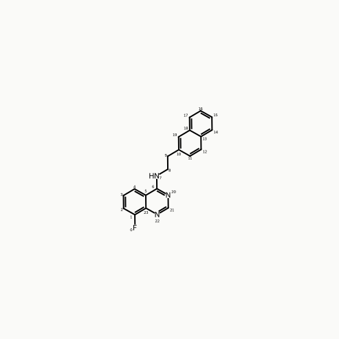 Fc1cccc2c(NCCc3ccc4ccccc4c3)ncnc12